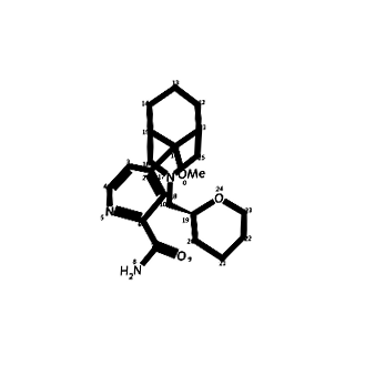 COC1(c2ccnc(C(N)=O)c2)C2CCCC1CN(C[C@@H]1CCCCO1)C2